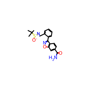 CC(C)(C)[S+]([O-])N=Cc1ccccc1-c1noc2cc(C(N)=O)ccc12